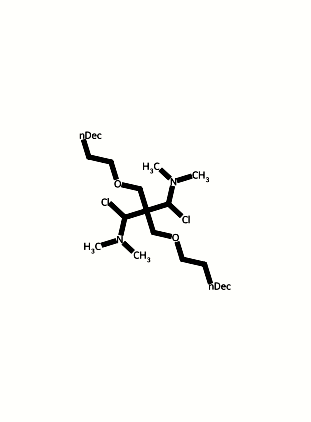 CCCCCCCCCCCCOCC(COCCCCCCCCCCCC)(C(Cl)N(C)C)C(Cl)N(C)C